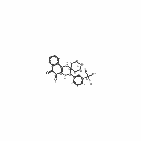 O=C1C(=O)c2ccccc2C2=C1SC(c1cccc(C(F)(F)F)c1)C1(CCNCC1)O2